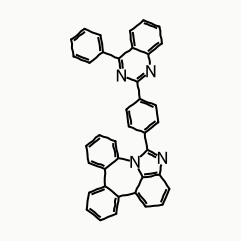 c1ccc(-c2nc(-c3ccc(-c4nc5cccc6c5n4-c4ccccc4-c4ccccc4-6)cc3)nc3ccccc23)cc1